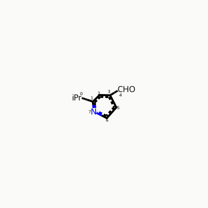 CC(C)c1cc(C=O)ccn1